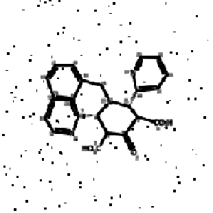 O=C(O)C1C(=O)C(C(=O)O)[C@H](c2ccccn2)N(Cc2ccccn2)[C@@H]1c1ccccn1